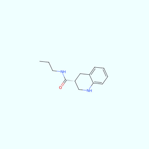 CCCNC(=O)[C@H]1CNc2ccccc2C1